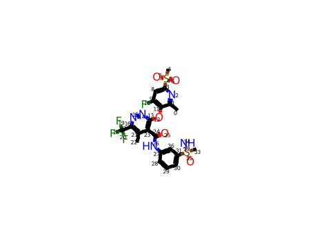 Cc1nc(S(C)(=O)=O)cc(F)c1Oc1nnc(C(F)(F)F)c(C)c1C(=O)Nc1cccc(S(C)(=N)=O)c1